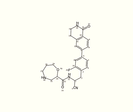 N#CC(Cc1ccc(-c2ccc3c(c2)CCNC3=O)cc1F)NC(=O)C1CNCCCO1